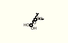 CCOCOc1cc2oc(-c3cc(O)cc(O)c3)cc2cc1CC=C(C)C